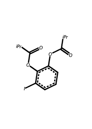 CC(C)C(=O)Oc1cccc(I)c1OC(=O)C(C)C